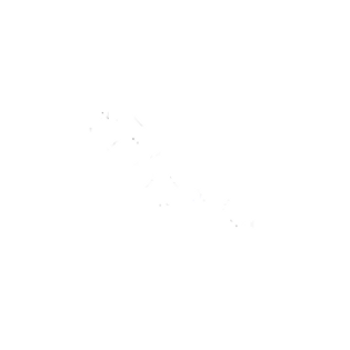 O=C(/C=C/c1cccc(S(=O)(=O)n2ccc3ncccc32)c1)NO